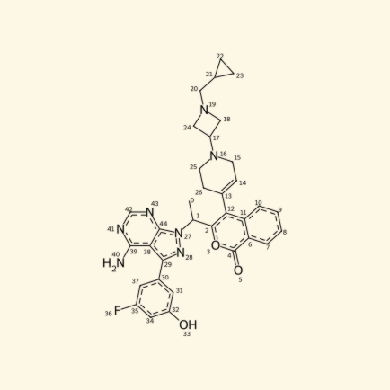 CC(c1oc(=O)c2ccccc2c1C1=CCN(C2CN(CC3CC3)C2)CC1)n1nc(-c2cc(O)cc(F)c2)c2c(N)ncnc21